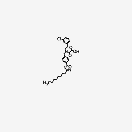 CCCCCCCCc1noc(-c2ccc(CN(CCc3cccc(Cl)c3)C(=O)C(=O)O)cc2)n1